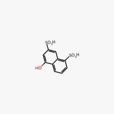 O=S(=O)(O)c1cc(O)c2cccc(S(=O)(=O)O)c2c1